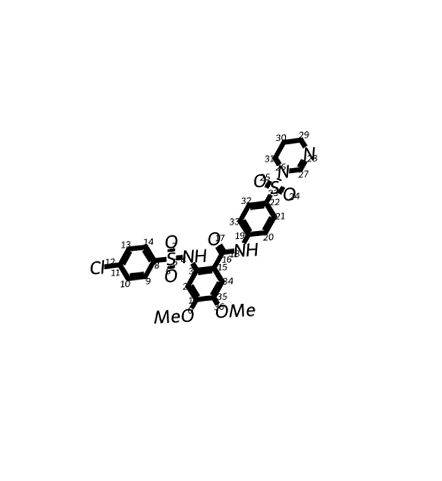 COc1cc(NS(=O)(=O)c2ccc(Cl)cc2)c(C(=O)Nc2ccc(S(=O)(=O)N3C=NCCC3)cc2)cc1OC